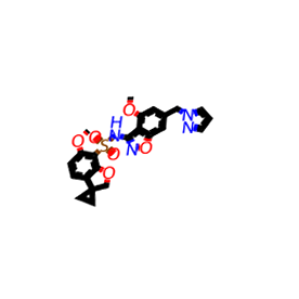 COc1ccc2c(c1S(=O)(=O)Nc1noc3cc(Cn4cccn4)cc(OC)c13)OCC21CC1